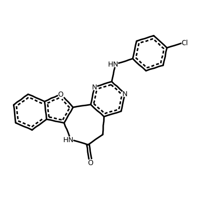 O=C1Cc2cnc(Nc3ccc(Cl)cc3)nc2-c2oc3ccccc3c2N1